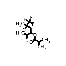 C=C(C)C(=O)OC(CC(C)(O)C(F)(F)F)C(C)C